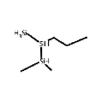 CCC[SiH]([SiH3])[SiH](C)C